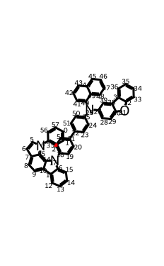 c1ccc(-n2ccc3ccc4c5ccccc5n(-c5ccc(-c6ccc(N(c7ccc8oc9ccccc9c8c7)c7cccc8ccccc78)cc6)cc5)c4c32)cc1